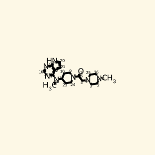 CN1CCN(CC(=O)N2CCC(N(C)c3ncnc4[nH]ccc34)CC2)CC1